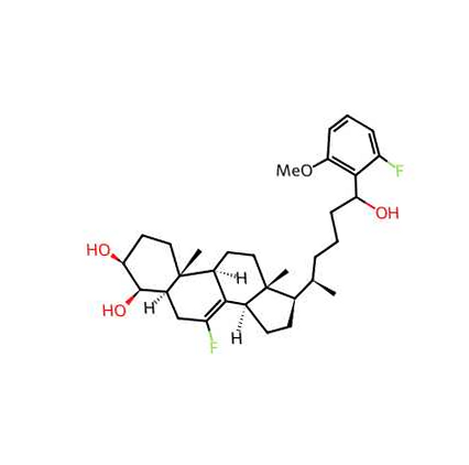 COc1cccc(F)c1C(O)CCC[C@@H](C)[C@H]1CC[C@H]2C3=C(F)C[C@H]4[C@@H](O)[C@@H](O)CC[C@]4(C)[C@H]3CC[C@]12C